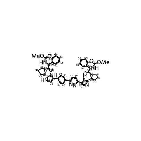 COC(=O)N[C@@H](C(=O)N1CCC[C@H]1c1ncc(-c2ccc(-c3ccc(C4=CNC([C@@H]5CCCN5C(=O)[C@H](NC(=O)OC)c5ccccc5)N4)cc3)nn2)[nH]1)c1ccccc1